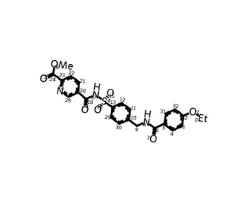 CCOc1ccc(C(=O)NCc2ccc(S(=O)(=O)NC(=O)c3ccc(C(=O)OC)nc3)cc2)cc1